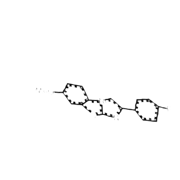 COc1ccc2c(c1)sc1nc(-c3ccc(F)cc3)cn12